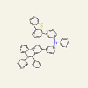 c1ccc(-c2c(-c3ccccc3)c3cc(-c4cccc(N(c5ccccc5)c5cccc(-c6cccc7c6sc6ccccc67)c5)c4)ccc3c3ccccc23)cc1